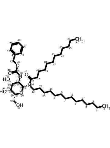 CCCCCCCCCCCCCCN(C(=O)CCCCCCCCCCC)[C@@H]1O[C@H](CO)[C@H](O)[C@H](O)[C@H]1NC(=O)OCc1ccccc1